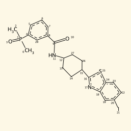 CP(C)(=O)c1cccc(C(=O)NC2CCC(c3nc4cc(I)ccc4s3)CC2)c1